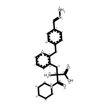 NN=Cc1ccc(Cc2ncccc2CC(N)(C(=O)O)C(=O)N2CCCCC2)cc1